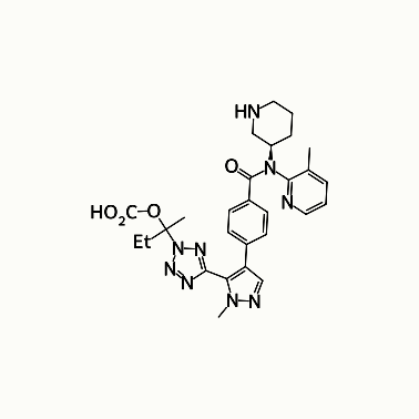 CCC(C)(OC(=O)O)n1nnc(-c2c(-c3ccc(C(=O)N(c4ncccc4C)[C@@H]4CCCNC4)cc3)cnn2C)n1